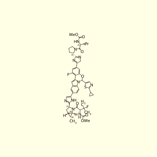 COC(=O)NC(C(=O)N1[C@@H]2[C@H](C)[C@@H]2C[C@H]1c1ncc(-c2ccc3c(c2)cc2n3C(c3cnc(C4CC4)s3)Oc3cc(C4=NC([C@@H]5CCCN5C(=O)[C@@H](NC(=O)OC)C(C)C)=NC4)cc(F)c3-2)[nH]1)C(C)(C)F